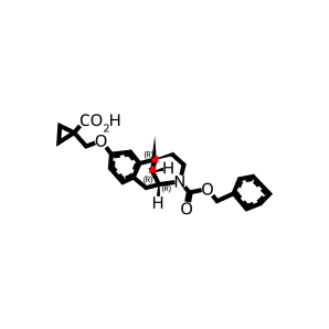 O=C(OCc1ccccc1)N1CC[C@]23CCCC[C@H]2[C@H]1Cc1ccc(OCC2(C(=O)O)CC2)cc13